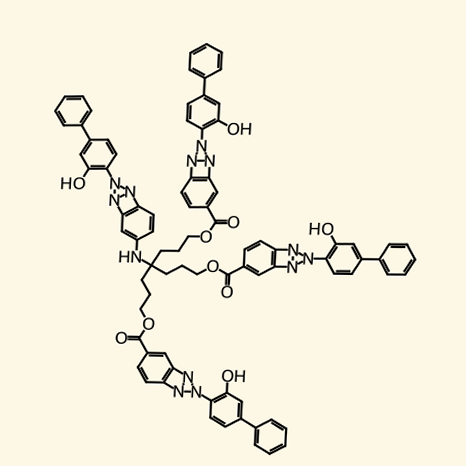 O=C(OCCCC(CCCOC(=O)c1ccc2c(c1)n1n(-c3ccc(-c4ccccc4)cc3O)n21)(CCCOC(=O)c1ccc2c(c1)n1n(-c3ccc(-c4ccccc4)cc3O)n21)Nc1ccc2c(c1)n1n(-c3ccc(-c4ccccc4)cc3O)n21)c1ccc2c(c1)n1n(-c3ccc(-c4ccccc4)cc3O)n21